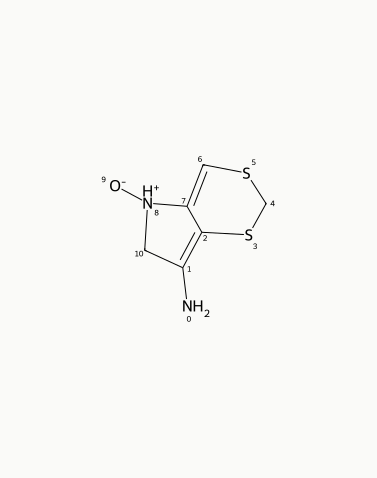 NC1=C2SCSC=C2[NH+]([O-])C1